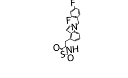 O=C1NC(Cc2cccc3c2ccn3Cc2ccc(F)cc2F)C(=O)S1